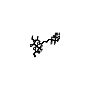 C=CC(=O)OC(OCCCCC(F)(F)C(F)(F)S(=O)(=O)O)(C(=O)N(CC)C(C)C)C(F)(F)F